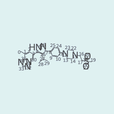 Cc1cc(-c2[nH]nc(-c3ccc(N4CCN(CCS(C)(=O)=O)CC4)cc3)c2C(C)C)cn2ncnc12